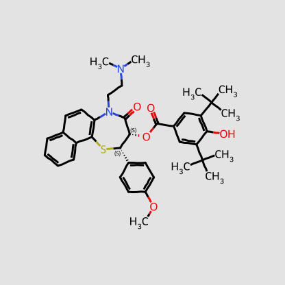 COc1ccc([C@@H]2Sc3c(ccc4ccccc34)N(CCN(C)C)C(=O)[C@@H]2OC(=O)c2cc(C(C)(C)C)c(O)c(C(C)(C)C)c2)cc1